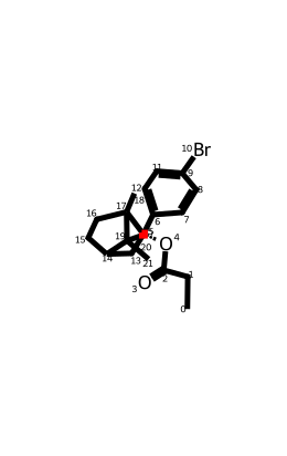 CCC(=O)O[C@]1(c2ccc(Br)cc2)CC2CCC1(C)C2(C)C